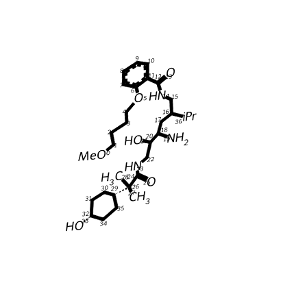 COCCCCOc1ccccc1C(=O)NCC(CC(N)C(O)CNC(=O)C(C)(C)[C@H]1CC[C@@H](O)CC1)C(C)C